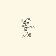 CCCO[C@H]1CN(c2nc(C(=O)O)c(CC)o2)CC[C@H]1NC(=O)c1nc(Cl)c(CC)[nH]1